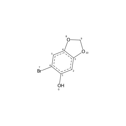 Oc1cc2c(cc1Br)OCO2